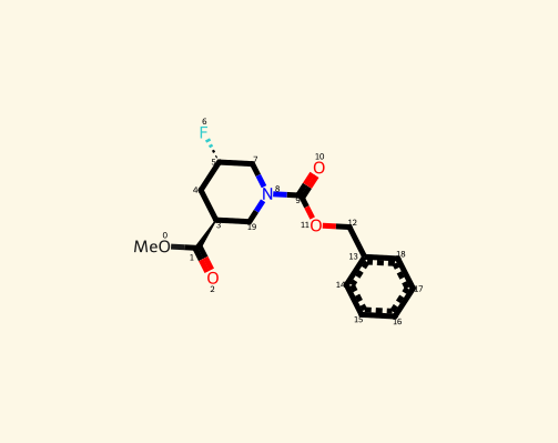 COC(=O)[C@H]1C[C@H](F)CN(C(=O)OCc2ccccc2)C1